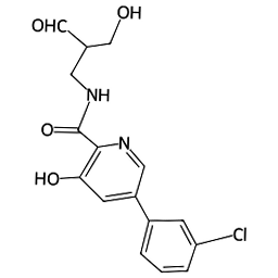 O=CC(CO)CNC(=O)c1ncc(-c2cccc(Cl)c2)cc1O